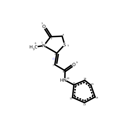 CN1C(=O)CS/C1=C\C(=O)Nc1ccccc1